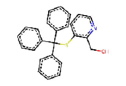 OCc1ncccc1SC(c1ccccc1)(c1ccccc1)c1ccccc1